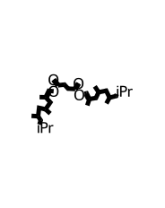 CC(=COC(=O)CCC(=O)OC=C(C)CC(C)CC(C)CC(C)C)CC(C)CC(C)CC(C)C